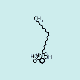 CCCCCCCC/C=C\CCCCCCCC(=O)Nc1c(O)cccc1C(=O)O